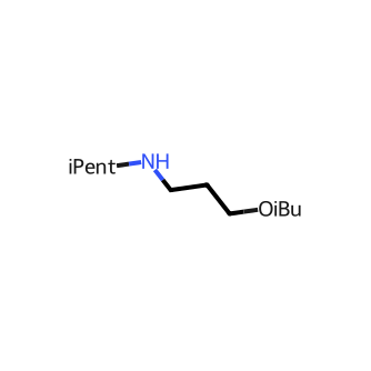 CCCC(C)NCCCOCC(C)C